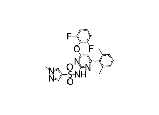 Cc1cccc(C)c1-c1cc(Oc2c(F)cccc2F)nc(NS(=O)(=O)c2cnn(C)c2)n1